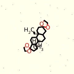 C=C[C@]12CCC3(CC1CC[C@@H]1C2CCC2(C)[C@H]1CCC21OCCO1)OCCO3